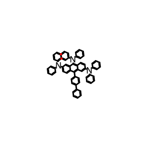 c1ccc(-c2ccc(-c3c4cc(N(c5ccccc5)c5ccccc5)ccc4c(N(c4ccccc4)c4ccccc4)c4cc(N(c5ccccc5)c5ccccc5)ccc34)cc2)cc1